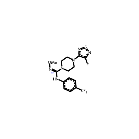 CO/N=C(/Nc1ccc(C(F)(F)F)cc1)N1CCN(c2nsnc2F)CC1